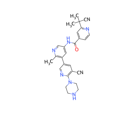 Cc1ncc(NC(=O)c2ccnc(C(C)(C)C#N)c2)cc1-c1cnc(N2CCNCC2)c(C#N)c1